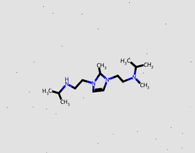 CC(C)NCCN1C=CN(CCN(C)C(C)C)C1C